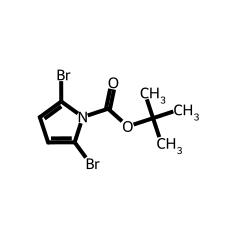 CC(C)(C)OC(=O)n1c(Br)ccc1Br